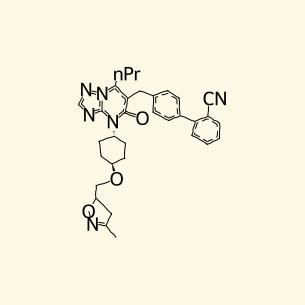 CCCc1c(Cc2ccc(-c3ccccc3C#N)cc2)c(=O)n([C@H]2CC[C@H](OCC3CC(C)=NO3)CC2)c2ncnn12